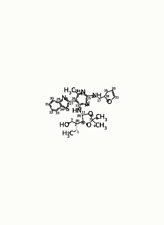 CC[C@H](CO)[C@H]1OC(C)(C)O[C@H]1Nc1nc(NCC2CC=CO2)nc(C)c1-c1nc2ccccc2s1